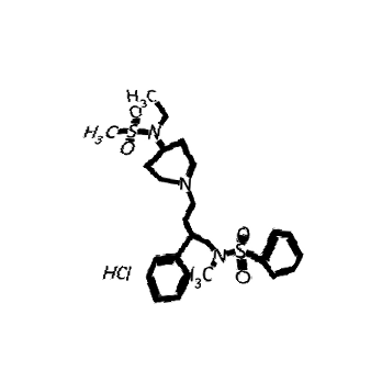 CCN(C1CCN(CCC(CN(C)S(=O)(=O)c2ccccc2)c2ccccc2)CC1)S(C)(=O)=O.Cl